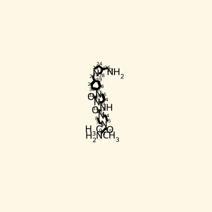 CC(C)(N)C(=O)N1CCN(C(=O)Nc2ccn(-c3ccc(CN4CCC(CN)C4)cc3)c(=O)n2)CC1